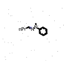 CCC/C=N/N(C)c1ccccc1